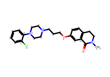 CN1CCc2ccc(OCCCN3CCN(c4ccccc4Cl)CC3)cc2C1=O